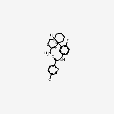 NC1=N[C@@]2(c3cc(NC(=O)c4ccc(Cl)cn4)ccc3F)CCCC[C@H]2CS1